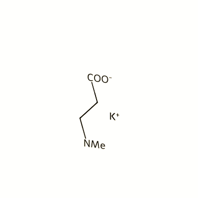 CNCCC(=O)[O-].[K+]